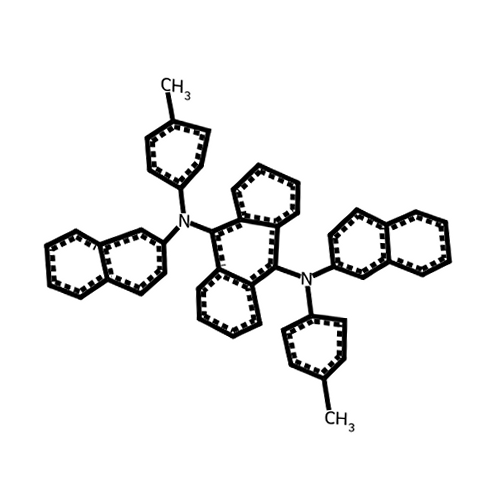 Cc1ccc(N(c2ccc3ccccc3c2)c2c3ccccc3c(N(c3ccc(C)cc3)c3ccc4ccccc4c3)c3ccccc23)cc1